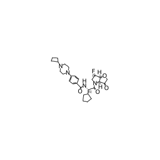 O=C(N[C@H](C(=O)N1C[C@H](F)[C@H]2OCC(=O)[C@H]21)C1CCCC1)c1ccc(N2CCN(C3CCC3)CC2)cc1